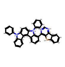 c1ccc(-n2c3ccccc3c3c4c5cccc(-c6ncnc7c6sc6ccccc67)c5n(-c5ccccc5)c4ccc32)cc1